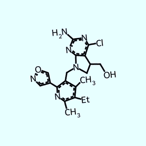 CCc1c(C)nc(-c2cnoc2)c(CN2CC(CO)c3c(Cl)nc(N)nc32)c1C